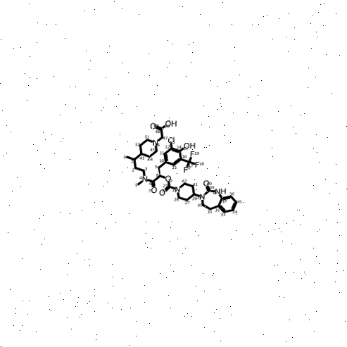 CC(CCN(C)C(=O)[C@@H](Cc1cc(Cl)c(O)c(C(F)(F)F)c1)OC(=O)N1CCC(N2CCc3ccccc3NC2=O)CC1)C1CCN(CC(=O)O)CC1